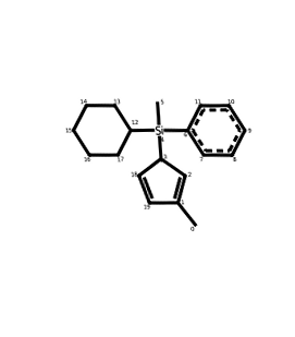 CC1=C[C]([Si](C)(c2ccccc2)C2CCCCC2)C=C1